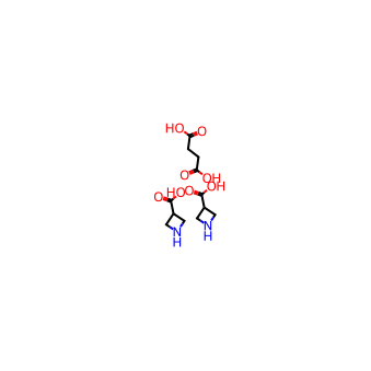 O=C(O)C1CNC1.O=C(O)C1CNC1.O=C(O)CCC(=O)O